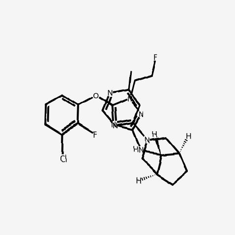 Cc1cc(N2C[C@H]3CC[C@@H](C2)[C@@H]3Nc2nc(Oc3cccc(Cl)c3F)n(CCF)n2)ncn1